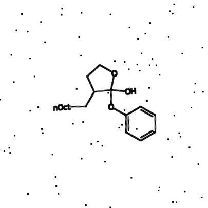 CCCCCCCCCC1CCOC1(O)Oc1ccccc1